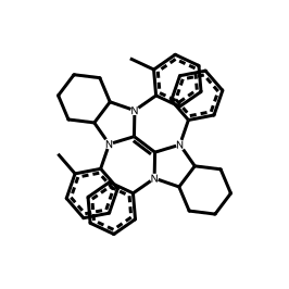 Cc1ccccc1N1C(=C2N(c3ccccc3)C3CCCCC3N2c2ccccc2)N(c2ccccc2C)C2CCCCC21